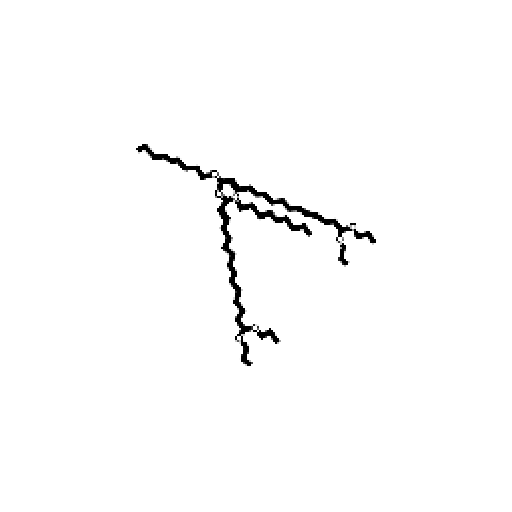 CCCCCCCCCOC(C=CCCCCCCCCCCCC(OCCC)OCCC)OC(C=CCCCCCCCCCCCC(OCCC)OCCC)OCCCCCCCCC